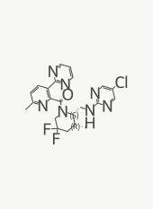 Cc1ccc(-c2ncccn2)c(C(=O)N2CC(F)(F)C[C@@H](C)[C@H]2CNc2ncc(Cl)cn2)n1